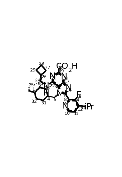 CC1CCC(Cn2c(-c3nccc(C(C)C)c3F)nc3nc(C(=O)O)nc(N[C@H](C)C4CCC4)c32)CC1